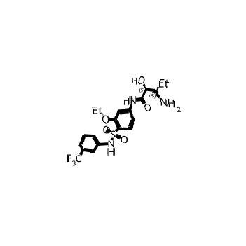 CCOc1cc(NC(=O)[C@@H](O)[C@@H](N)CC)ccc1S(=O)(=O)Nc1cccc(C(F)(F)F)c1